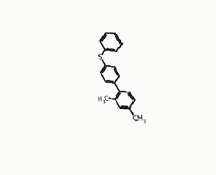 Cc1[c]c(C)c(-c2ccc(Sc3ccccc3)cc2)cc1